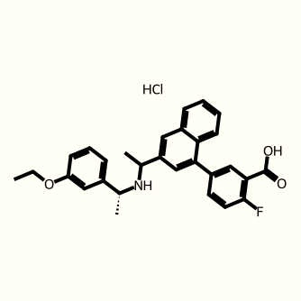 CCOc1cccc([C@@H](C)NC(C)c2cc(-c3ccc(F)c(C(=O)O)c3)c3ccccc3c2)c1.Cl